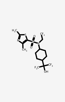 Cc1nc(C)c(S(=O)(=O)N(CC(F)(F)F)C2CCC(C(O)(C(F)(F)F)C(F)(F)F)CC2)s1